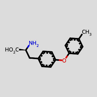 Cc1ccc(Oc2ccc(C[C@H](N)C(=O)O)cc2)cc1